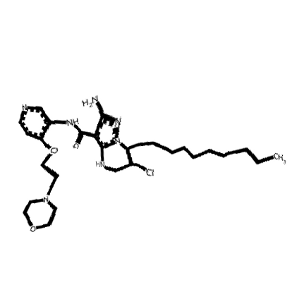 CCCCCCCCCC1C(Cl)CNc2c(C(=O)Nc3cnccc3OCCN3CCOCC3)c(N)nn21